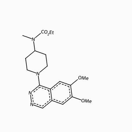 CCOC(=O)N(C)C1CCN(c2nncc3cc(OC)c(OC)cc23)CC1